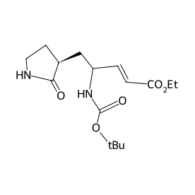 CCOC(=O)/C=C/C(C[C@@H]1CCNC1=O)NC(=O)OC(C)(C)C